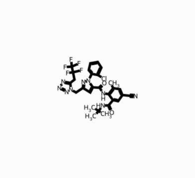 Cc1cc(C#N)cc(C(=O)NC(C)(C)C)c1NC(=O)c1cc(Cn2nnnc2CC(F)(F)C(F)(F)F)nn1-c1ccccc1Cl